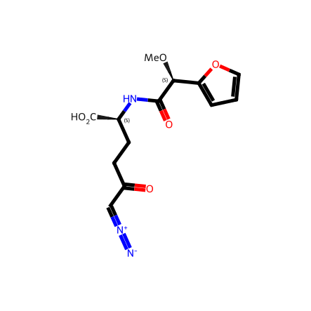 CO[C@H](C(=O)N[C@@H](CCC(=O)C=[N+]=[N-])C(=O)O)c1ccco1